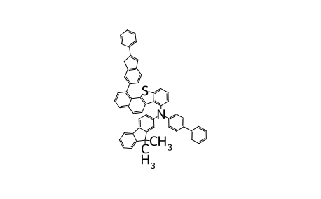 CC1(C)c2ccccc2-c2ccc(N(c3ccc(-c4ccccc4)cc3)c3cccc4sc5c(ccc6cccc(-c7ccc8c(c7)CC(c7ccccc7)=C8)c65)c34)cc21